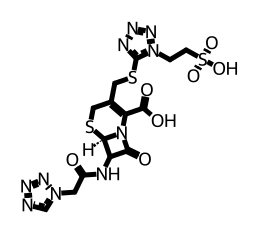 O=C(Cn1cnnn1)NC1C(=O)N2C(C(=O)O)=C(CSc3nnnn3CCS(=O)(=O)O)CS[C@H]12